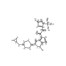 CC1CC(N2CCN(CC3CC3)CC2)=Nc2c(C(=O)Nc3cn(C)nc3C(F)(F)F)cnn21